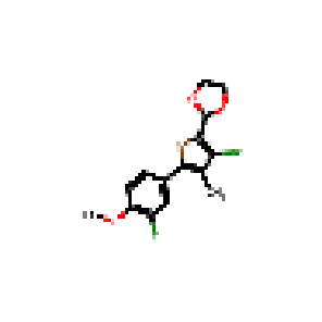 COc1ccc(-c2sc(C3OCCO3)c(Br)c2C)cc1F